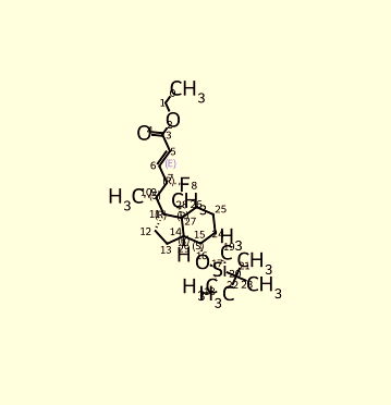 CCOC(=O)/C=C/[C@H](F)[C@@H](C)[C@H]1CC[C@H]2[C@@H](O[Si](C)(C)C(C)(C)C)CCC[C@]12C